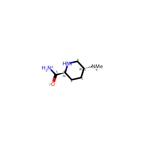 CN[C@@H]1CC[C@@H](C(N)=O)NC1